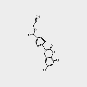 C#CCOC(=O)c1ccc(N2Cc3cc(Cl)cc(Cl)c3OC2=S)cn1